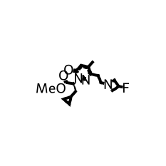 COC(=O)[C@H](CC1CC1)n1nc(CCN2CC(F)C2)c(C)cc1=O